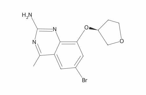 Cc1nc(N)nc2c(O[C@H]3CCOC3)cc(Br)cc12